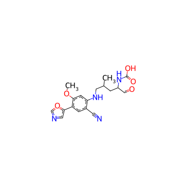 COc1cc(NCC(C)CC(C=O)NC(=O)O)c(C#N)cc1-c1cnco1